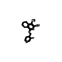 N#Cc1c(O)nc(SCc2ccncc2F)c2c1CCCC2